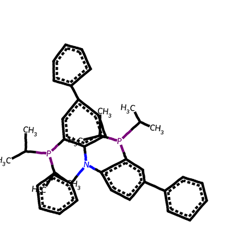 CC(C)P(c1cc(-c2ccccc2)ccc1N(c1ccccc1)c1ccc(-c2ccccc2)cc1P(C(C)C)C(C)C)C(C)C